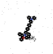 CC1(C)c2ccccc2-c2c(N(c3ccc(-c4ccc(-c5ccc(-c6ccc7c(c6)c6ccccc6n7-c6ccccc6)cc5)cc4)cc3)c3cc4ccccc4c4c3oc3ccccc34)cccc21